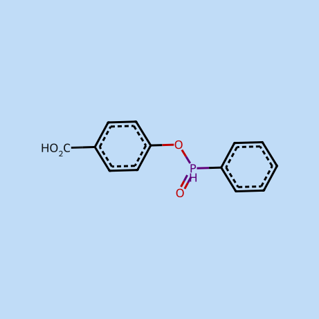 O=C(O)c1ccc(O[PH](=O)c2ccccc2)cc1